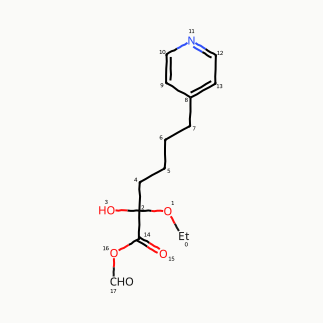 CCOC(O)(CCCCc1ccncc1)C(=O)OC=O